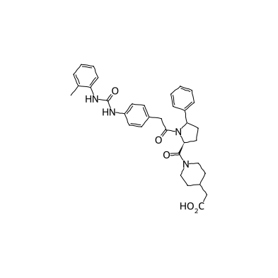 Cc1ccccc1NC(=O)Nc1ccc(CC(=O)N2C(c3ccccc3)CC[C@H]2C(=O)N2CCC(CC(=O)O)CC2)cc1